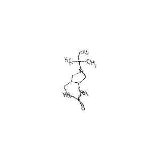 CC(C)(C)N1CC2CNC(=O)NC2C1